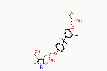 Cc1cc(C(C)(C)c2ccc(OC[C@@H](O)CN3NNC(I)=C3CO)cc2)ccc1OC[C@@H](O)CCl